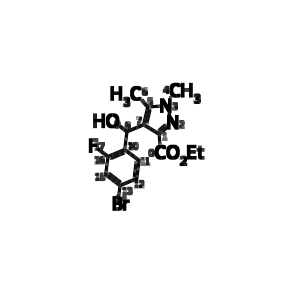 CCOC(=O)c1nn(C)c(C)c1C(O)c1ccc(Br)cc1F